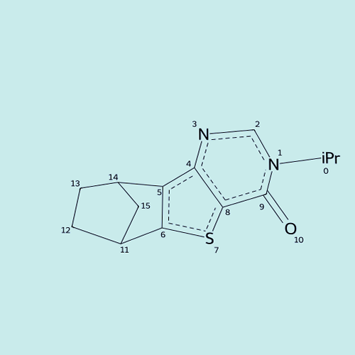 CC(C)n1cnc2c3c(sc2c1=O)C1CCC3C1